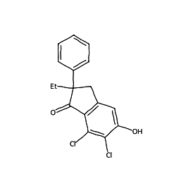 CCC1(c2ccccc2)Cc2cc(O)c(Cl)c(Cl)c2C1=O